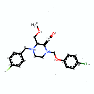 COCC1C(=C=O)N(COc2ccc(Cl)cc2)CCN1Cc1ccc(F)cc1